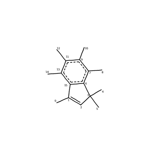 CC1=CC(C)(C)c2c(C)c(C)c(C)c(C)c21